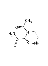 CC(=O)N1CCNC=C1C(N)=O